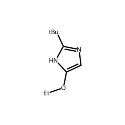 CCOc1cnc(C(C)(C)C)[nH]1